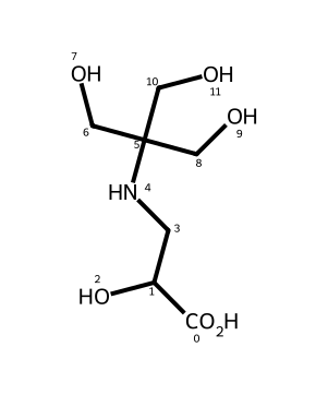 O=C(O)C(O)CNC(CO)(CO)CO